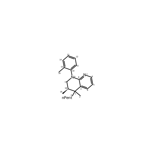 CCCCCC1(C)c2cccnc2N(c2ccccc2C)C[C@@H]1C